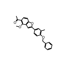 COc1c(C(C)=O)ccc2oc(-c3ccc(OCc4ccccc4)c(C)c3)cc12